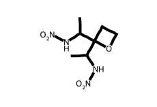 CC(N[N+](=O)[O-])C1(C(C)N[N+](=O)[O-])CCO1